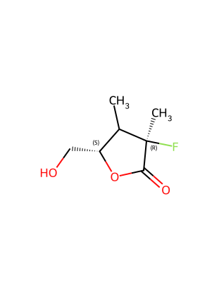 CC1[C@@H](CO)OC(=O)[C@]1(C)F